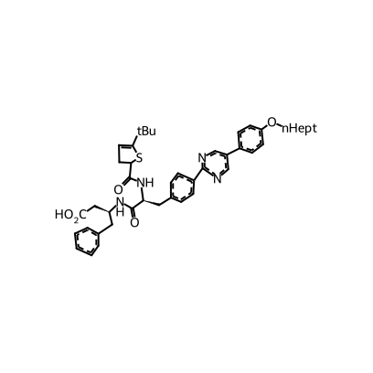 CCCCCCCOc1ccc(-c2cnc(-c3ccc(C[C@H](NC(=O)C4CC=C(C(C)(C)C)S4)C(=O)N[C@H](CC(=O)O)Cc4ccccc4)cc3)nc2)cc1